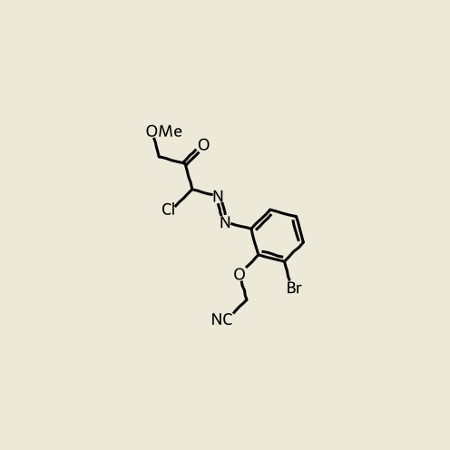 COCC(=O)C(Cl)/N=N/c1cccc(Br)c1OCC#N